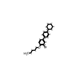 CCCCCOc1ccc(-c2ccc(C3CC[CH]CC3)cc2)cc1Br